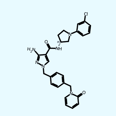 Nc1nn(Cc2ccc(Cn3ccccc3=O)cc2)cc1C(=O)N[C@@H]1CCN(c2cccc(Cl)c2)C1